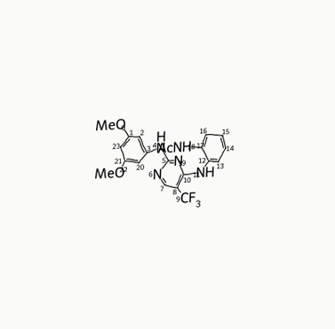 COc1cc(Nc2ncc(C(F)(F)F)c(Nc3ccccc3NC(C)=O)n2)cc(OC)c1